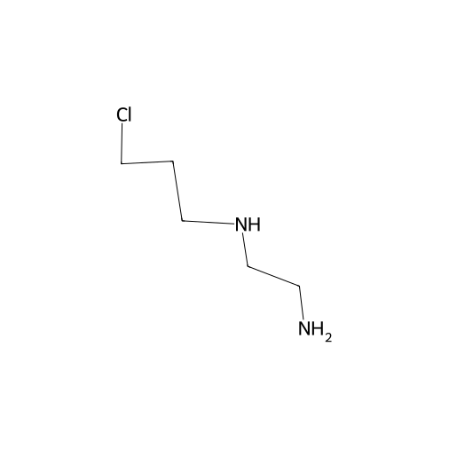 NCCNCCCCl